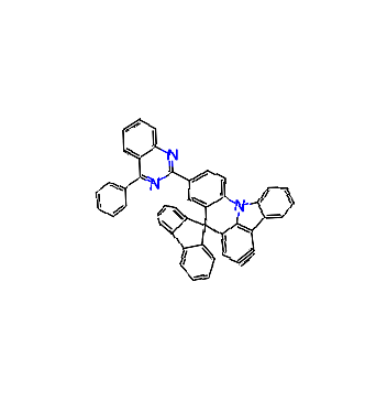 c1cc2c3c(c#1)c1ccccc1n3-c1ccc(-c3nc(-c4ccccc4)c4ccccc4n3)cc1C21c2ccccc2-c2ccccc21